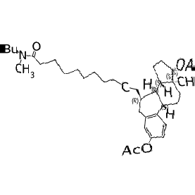 CCCCN(C)C(=O)CCCCCCCCCC[C@@H]1Cc2cc(OC(C)=O)ccc2[C@H]2CC[C@]3(C)[C@@H](OC(C)=O)CC[C@H]3[C@H]12